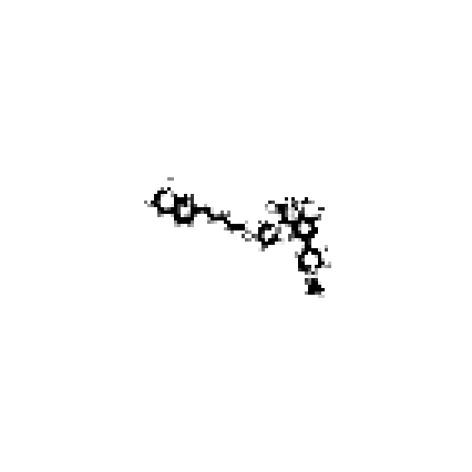 COc1c(F)cc(C2CCN(C3CC3)CC2)cc1C(C(=O)O)N1CC[C@@H](OCCCCCc2ccc3c(n2)NCCC3)C1